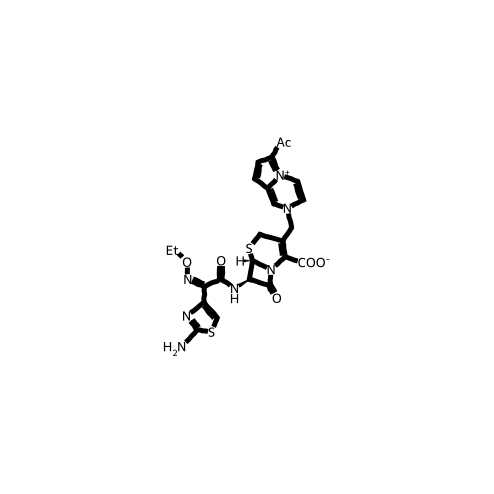 CCO/N=C(\C(=O)N[C@@H]1C(=O)N2C(C(=O)[O-])=C(Cn3cc[n+]4c(C(C)=O)ccc-4c3)CS[C@H]12)c1csc(N)n1